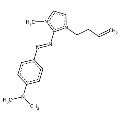 C=CCCn1cc[n+](C)c1/N=N/c1ccc(N(C)C)cc1